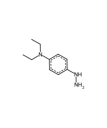 CCN(CC)c1ccc(NN)cc1